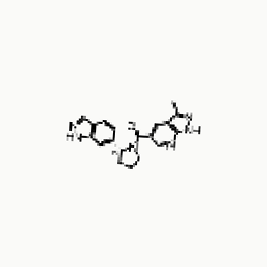 Cc1n[nH]c2ncc(C(=O)N3CCC[C@@H]3c3ccc4cn[nH]c4c3)cc12